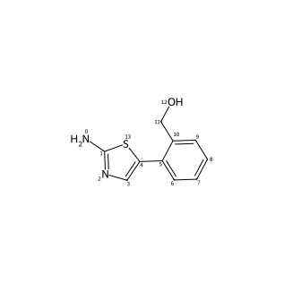 Nc1ncc(-c2ccccc2CO)s1